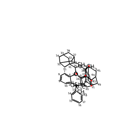 CC(=O)OC(Oc1ccccc1[S+](c1ccccc1)c1ccccc1OC(OC(C)=O)C12CC3CC(CC(C3)C1C)C2)C12CC3CC(CC(C3)C1C)C2